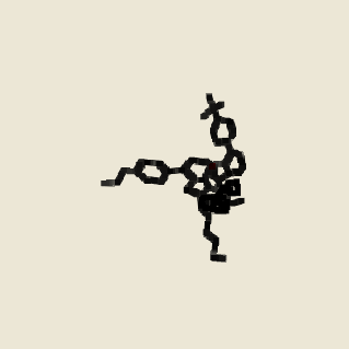 CCCCCCC1=Cc2c(-c3ccc(CCC)cc3)cccc2[CH]1[Zr]([Cl])([Cl])([CH]1C=Cc2c(-c3ccc(C(C)(C)C)cc3)cccc21)[SiH](C)C